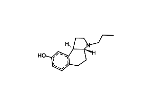 CCCN1CC[C@@H]2c3cc(O)ccc3CC[C@H]21